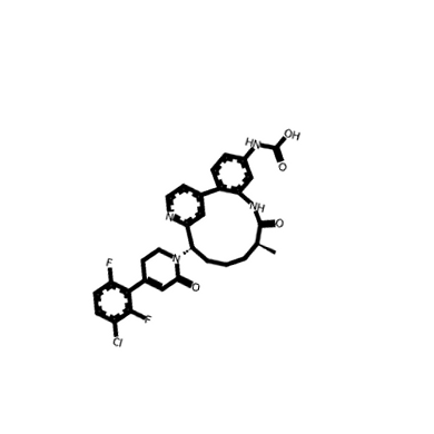 C[C@H]1CCC[C@H](N2CCC(c3c(F)ccc(Cl)c3F)=CC2=O)c2cc(ccn2)-c2ccc(NC(=O)O)cc2NC1=O